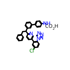 O=C(O)Nc1ccc(-c2cccc(C(Cc3ccccc3)c3ccc(-c4cc(Cl)ccc4-n4cnnn4)cn3)c2)cc1